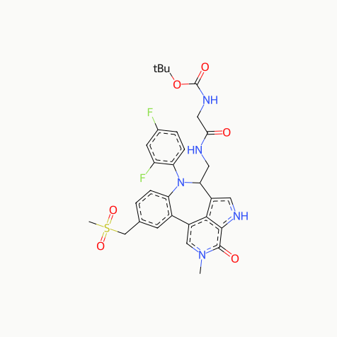 Cn1cc2c3c(c[nH]c3c1=O)C(CNC(=O)CNC(=O)OC(C)(C)C)N(c1ccc(F)cc1F)c1ccc(CS(C)(=O)=O)cc1-2